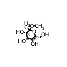 COC1(C)O[C@H](CO)[C@@H](O)[C@H](O)[C@H]1O